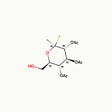 CC(=O)O[C@H]1[C@H](OC(C)=O)[C@@H](CO)O[C@@](C)(F)[C@@H]1OC(C)=O